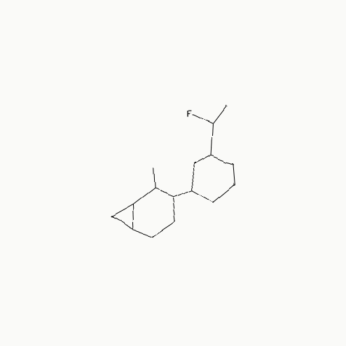 CC(F)C1CCCC(C2CCC3CC3C2C)C1